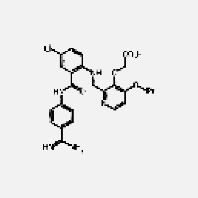 CC(C)Oc1ccnc(CNc2ccc(Cl)cc2C(=O)Nc2ccc(C(=N)N)cc2)c1OCC(=O)O